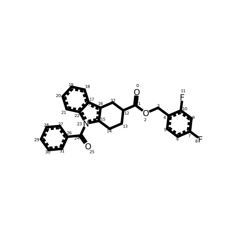 O=C(OCc1ccc(F)cc1F)C1CCc2c(c3ccccc3n2C(=O)c2ccccc2)C1